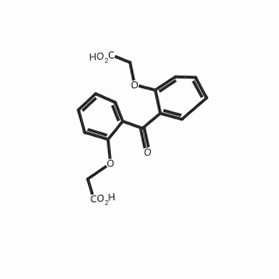 O=C(O)COc1ccccc1C(=O)c1ccccc1OCC(=O)O